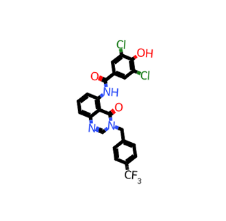 O=C(Nc1cccc2ncn(Cc3ccc(C(F)(F)F)cc3)c(=O)c12)c1cc(Cl)c(O)c(Cl)c1